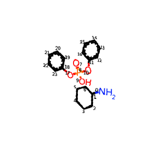 NC1CCCCC1.O=P(O)(Oc1ccccc1)Oc1ccccc1